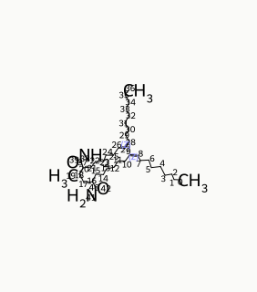 CCCCCCCC/C=C\CCCCCCC(CC(C)C(CCCCCC/C=C\CCCCCCCC)C(N)=O)C(N)=O